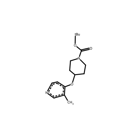 Cc1cnccc1OC1CCN(C(=O)OC(C)(C)C)CC1